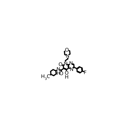 CC1CCC(NC(=O)c2c(O)c3nc(-c4ccc(F)cc4)cnc3n(CCN3CCOCC3)c2=O)CC1